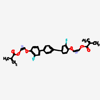 C=C(C)C(=O)O/C=C\Oc1ccc(-c2ccc(-c3ccc(O/C=C\OC(=O)C(=C)C)c(F)c3)cc2)cc1F